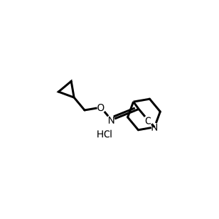 C1CC1CON=C1CN2CCC1CC2.Cl